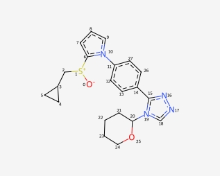 [O-][S+](CC1CC1)c1cccn1-c1ccc(-c2nncn2C2CCCCO2)cc1